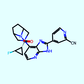 N#Cc1cc(-c2nc3c(N4CC5CCC(C4)N5C(=O)[C@@H]4C[C@H]4F)ccnc3[nH]2)ccn1